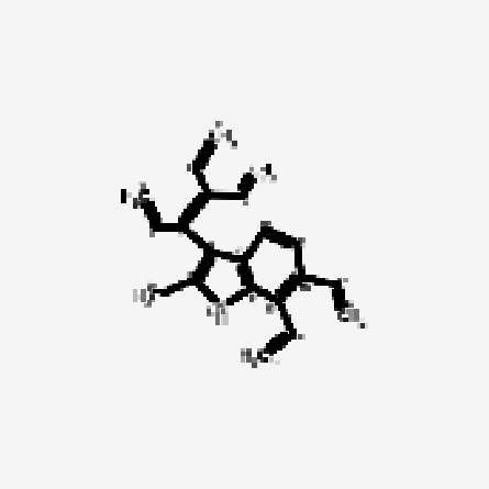 C=CC(C=C)=C(C=C)c1c(C)[nH]c2c(C=C)c(C=C)ccc12